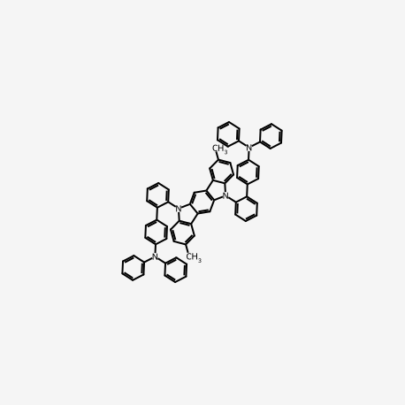 Cc1ccc2c(c1)c1cc3c(cc1n2-c1ccccc1-c1ccc(N(c2ccccc2)c2ccccc2)cc1)c1cc(C)ccc1n3-c1ccccc1-c1ccc(N(c2ccccc2)c2ccccc2)cc1